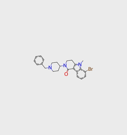 Cn1c2c(c3cccc(Br)c31)C(=O)N(C1CCN(Cc3ccccc3)CC1)CC2